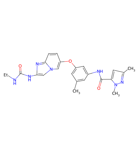 CCNC(=O)Nc1cn2cc(Oc3cc(C)cc(NC(=O)c4cc(C)nn4C)c3)ccc2n1